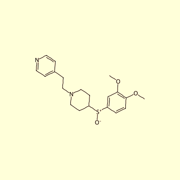 COc1ccc([S+]([O-])C2CCN(CCc3ccncc3)CC2)cc1OC